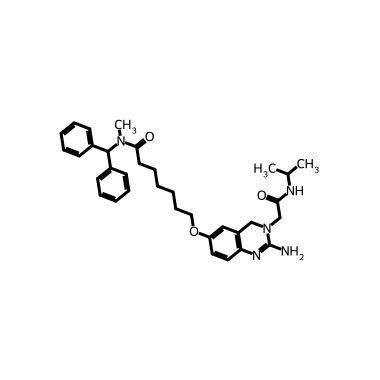 CC(C)NC(=O)CN1Cc2cc(OCCCCCCC(=O)N(C)C(c3ccccc3)c3ccccc3)ccc2N=C1N